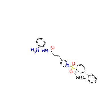 CC(=O)NCC1(S(=O)(=O)n2ccc(/C=C/C(=O)Nc3ccccc3N)c2)C=CC=C(c2ccccc2)C1